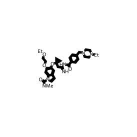 CCOCCOc1cc2c(ccn2C(=O)NC)cc1OC1(CC(=N)NC(=O)c2ccc(CN3CCN(CC)CC3)cc2)C=C1